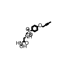 CC#CCOc1ccc(S(=O)(=O)CNCC(=O)NO)cc1